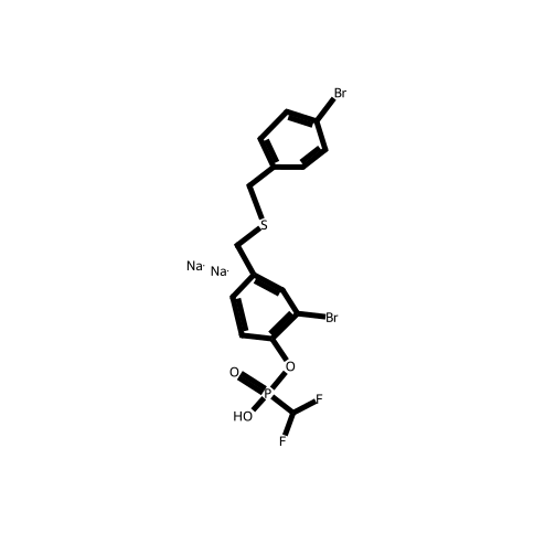 O=P(O)(Oc1ccc(CSCc2ccc(Br)cc2)cc1Br)C(F)F.[Na].[Na]